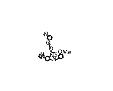 COc1cccc(CN(Cc2ccc(-n3cccn3)cc2)c2nc(COCCOc3cccc(N(C)C)c3)cs2)c1